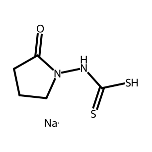 O=C1CCCN1NC(=S)S.[Na]